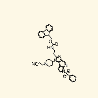 N#CCCN1CCC(n2c(CCNC(=O)OCC3c4ccccc4-c4ccccc43)nc3cnc4c(ccn4S(=O)(=O)c4ccccc4)c32)CC1